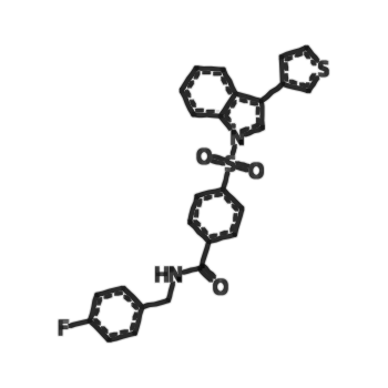 O=C(NCc1ccc(F)cc1)c1ccc(S(=O)(=O)n2cc(-c3ccsc3)c3ccccc32)cc1